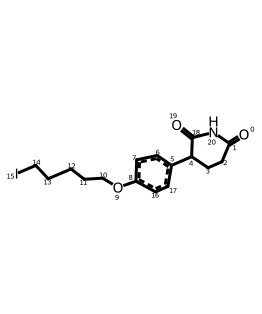 O=C1CCC(c2ccc(OCCCCCI)cc2)C(=O)N1